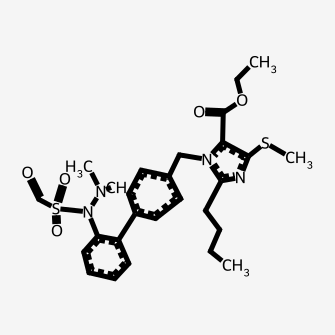 CCCCc1nc(SC)c(C(=O)OCC)n1Cc1ccc(-c2ccccc2N(N(C)C)S(=O)(=O)C=O)cc1